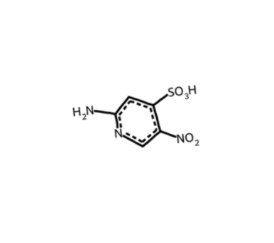 Nc1cc(S(=O)(=O)O)c([N+](=O)[O-])cn1